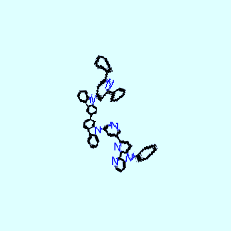 c1ccc(-c2cc(-n3c4ccccc4c4cc(-c5ccc6c7ccccc7n(-c7cncc(-c8ccc9c(n8)c8ncccc8n9-c8ccccc8)c7)c6c5)ccc43)cc(-c3ccccc3)n2)cc1